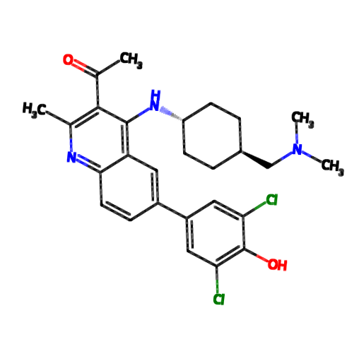 CC(=O)c1c(C)nc2ccc(-c3cc(Cl)c(O)c(Cl)c3)cc2c1N[C@H]1CC[C@H](CN(C)C)CC1